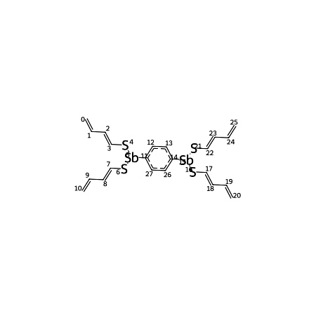 C=CC=C[S][Sb]([S]C=CC=C)[c]1cc[c]([Sb]([S]C=CC=C)[S]C=CC=C)cc1